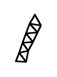 C1C2C13C21C32C34C56CC5C63C124